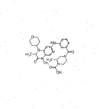 CC1CN(C(=O)c2cccc(Nc3cc4c(cn3)N(C)C(=O)C(C)N4C3CCOCC3)c2)CCN1C(=O)O